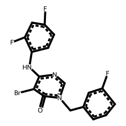 O=c1c(Br)c(Nc2ccc(F)cc2F)ncn1Cc1cccc(F)c1